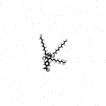 CCCCCCCCCCOC(=O)/C(CCCCCCCC)=C(\C(=O)OCCCCCCCCCC)c1ccc(C(C)=O)cc1